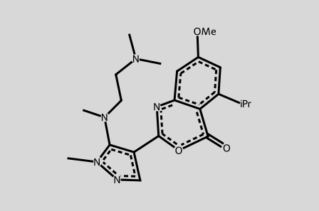 COc1cc(C(C)C)c2c(=O)oc(-c3cnn(C)c3N(C)CCN(C)C)nc2c1